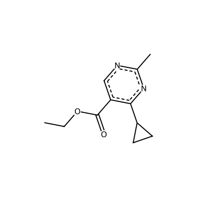 CCOC(=O)c1cnc(C)nc1C1CC1